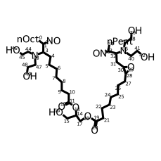 CCCCCCCCC(N=O)C(CCCCCCCC(=O)OC(CO)COC(=O)CCCCCCCC1OC1CC(C(CCCCC)N=O)N(CCO)CCO)N(CCO)CCO